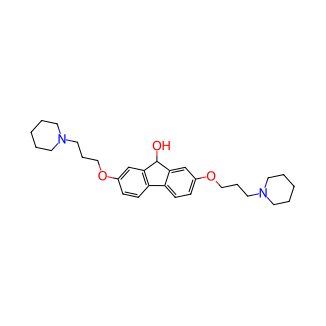 OC1c2cc(OCCCN3CCCCC3)ccc2-c2ccc(OCCCN3CCCCC3)cc21